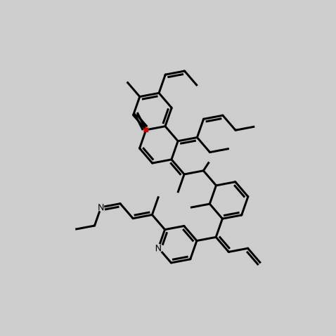 C=C\C=C/C(=C(\C)C(C)C1C=CC=C(/C(=C\C=C)c2ccnc(/C(C)=C/C=N\CC)c2)C1C)C(=C(/C=C\CC)CC)/c1ccc(C)c(/C=C\C)c1